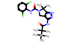 CC1(C)c2[nH]nc(NC(=O)C(C)(C)[Si](C)(C)C)c2CN1C(=O)Nc1c(Cl)cccc1Cl